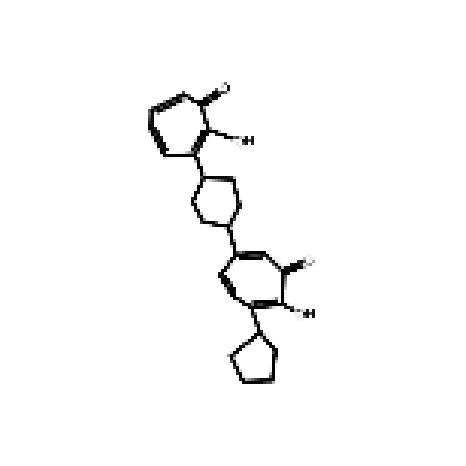 O=c1cc(C2CCC(c3ccccc(=O)c3O)CC2)ccc(C2CCCC2)c1O